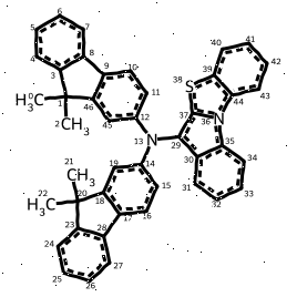 CC1(C)c2ccccc2-c2ccc(N(c3ccc4c(c3)C(C)(C)c3ccccc3-4)c3c4ccccc4n4c3sc3ccccc34)cc21